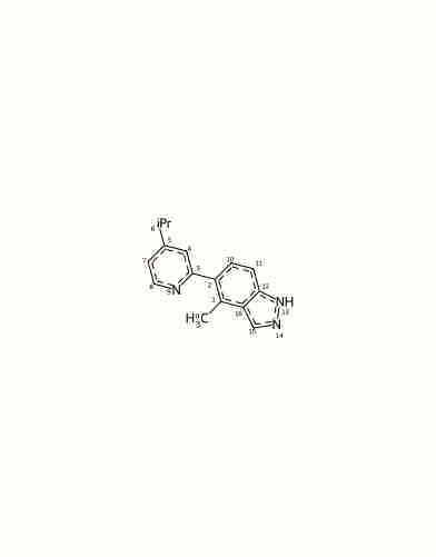 Cc1c(-c2cc(C(C)C)ccn2)ccc2[nH]ncc12